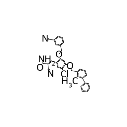 Cc1c(COc2cc(OCc3cccc(C#N)c3)c(/C=C(\C#N)C(N)=O)cc2Cl)cccc1-c1ccccc1